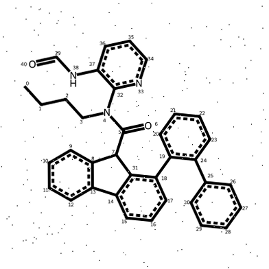 CCCCN(C(=O)C1c2ccccc2-c2cccc(-c3ccccc3-c3ccccc3)c21)c1ncccc1NC=O